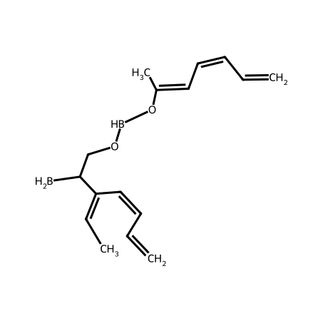 BC(COBO/C(C)=C/C=C\C=C)C(/C=C\C=C)=C/C